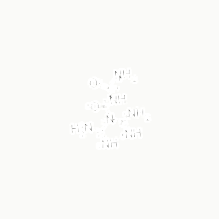 N=C(N)N(C(=N)N)C(=O)NC(N)=O